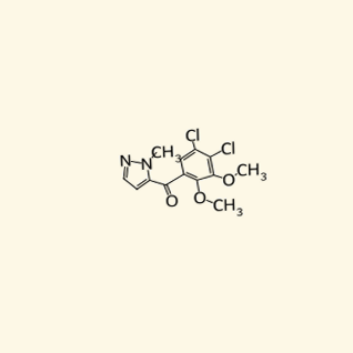 COc1c(C(=O)c2ccnn2C)cc(Cl)c(Cl)c1OC